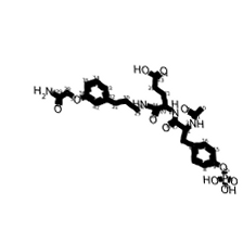 CC(=O)NC(Cc1ccc(OP(=O)(O)O)cc1)C(=O)NC(CCC(=O)O)C(=O)NCCCc1cccc(OCC(N)=O)c1